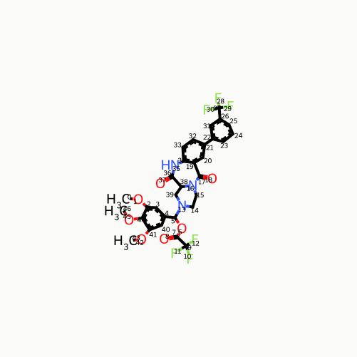 COc1cc(C(OC(=O)C(F)(F)F)N2CCN3C(=O)c4cc(-c5cccc(C(F)(F)F)c5)ccc4NC(=O)C3C2)cc(OC)c1OC